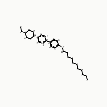 CCCCCCCCCCCOc1ccc(-c2ncc([C@H]3CC[C@H](CC)CC3)cn2)cc1